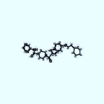 O=C(Nc1cnccn1)N1CCN(C(=O)c2cc3cc(OCCC4CCCCC4)ccc3s2)CC1